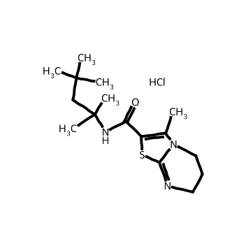 CC1=C(C(=O)NC(C)(C)CC(C)(C)C)SC2=NCCCN21.Cl